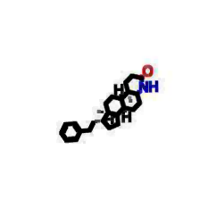 C[C@]12CC[C@H]3[C@@H](CCC4NC(=O)CC[C@@]43C)[C@@H]1CC[C@@H]2CCc1ccccc1